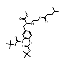 COC(=O)[C@H](Cc1ccc(OC(=O)OC(C)(C)C)c(OC(=O)OC(C)(C)C)c1)NCCOC(=O)CCC(C)C